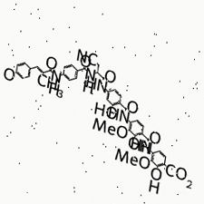 COc1c(NC(=O)c2ccc(NC(=O)c3ccc(NC(=O)[C@H](CC#N)NC(=O)c4ccc(NC(=O)/C(C)=C/c5ccc(O)cc5)cc4)cc3O)c(OC)c2O)ccc(C(=O)O)c1O